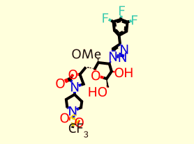 CO[C@@H]1[C@@H](n2cc(-c3cc(F)c(F)c(F)c3)nn2)[C@@H](O)[C@@H](CO)O[C@@H]1CC1CN(C2CCN(S(=O)(=O)C(F)(F)F)CC2)C(=O)O1